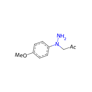 COc1ccc(N(N)CC(C)=O)cc1